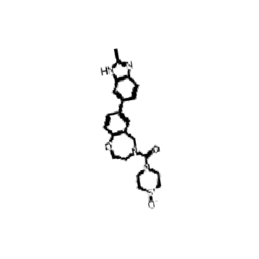 Cc1nc2ccc(-c3ccc4c(c3)CN(C(=O)N3CC[S+]([O-])CC3)CCO4)cc2[nH]1